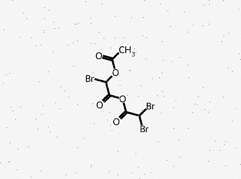 CC(=O)OC(Br)C(=O)OC(=O)C(Br)Br